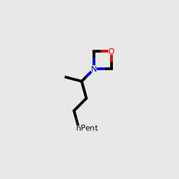 CCCCCCCC(C)N1COC1